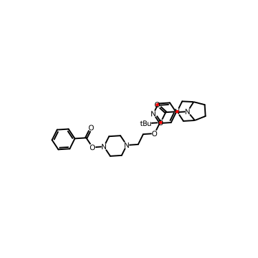 CC(C)(C)OC(=O)N1CC2CCC(C1)N2c1ccnc(OCCN2CCN(OC(=O)c3ccccc3)CC2)c1